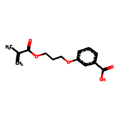 C=C(C)C(=O)OCCCOc1cccc(C(=O)O)c1